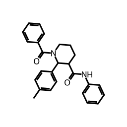 Cc1ccc(C2C(C(=O)Nc3ccccc3)CCCN2C(=O)c2ccccc2)cc1